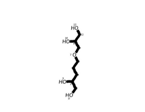 OCC(O)CCCOCC(O)CO